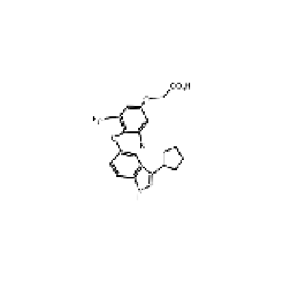 O=C(O)COc1cc(Br)c(Oc2ccc3[nH]cc(C4CCCC4)c3c2)c(C(F)(F)F)c1